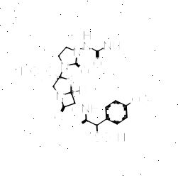 CC(=O)Oc1ccc(C(C(=O)N[C@@H]2C(=O)N3C[C@@](C(=O)O)(N4CCN(NC(N)=O)C4=O)S[C@H]23)S(=O)(=O)O)cc1